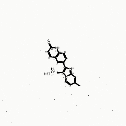 Cc1ccn2c(C)c(-c3ccc4[nH]c(=O)ccc4c3)nc2c1.Cl.O